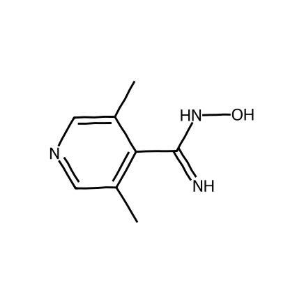 Cc1cncc(C)c1C(=N)NO